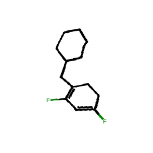 FC1=CC(F)=C(CC2CCCCC2)CC1